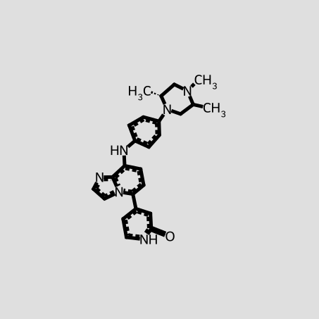 CC1CN(c2ccc(Nc3ccc(-c4cc[nH]c(=O)c4)n4ccnc34)cc2)[C@H](C)CN1C